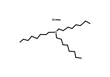 CBr.CCCCCCCCN(CCCCCCCC)CCCCCCCC